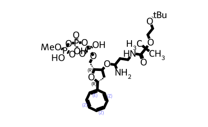 COP(=O)(O)OP(=O)(O)OP(=O)(O)OC[C@H]1O[C@@H](C2=C/C=C\C=C/C=C\2)CC1OC(N)CCNC(=O)C(C)(C)OCCOC(C)(C)C